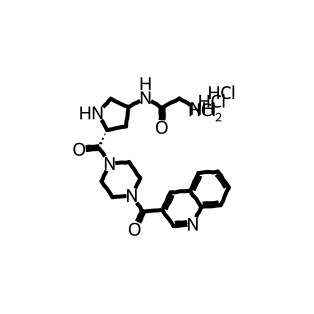 Cl.Cl.Cl.NCC(=O)NC1CN[C@@H](C(=O)N2CCN(C(=O)c3cnc4ccccc4c3)CC2)C1